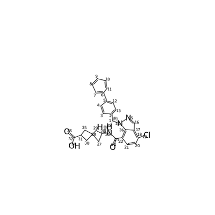 C[C@H](c1ccc(-c2ccccc2)cc1)n1ncc2c(Cl)ccc(C(=O)NC3CC4(C3)CC(C(=O)O)C4)c21